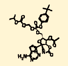 CC(=O)O[C@H]1[C@@H](OC(C)=O)[C@](C#N)(c2ccc3c(N)ncnn23)O[C@@H]1CO[P@@](=O)(OCOC(=O)OC(C)C)Oc1ccc(C(C)(C)C)cc1